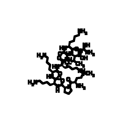 CSCC[C@H](N)C(=O)N1CCC[C@H]1C(=O)N[C@@H](CCCCN)C(=O)N[C@@H](CCCCN)C(=O)N[C@@H](CCCCN)C(=O)N[C@@H](CCCNC(=N)N)C(=O)N[C@@H](CCCCN)C(=O)N[C@H](C(=O)O)C(C)C